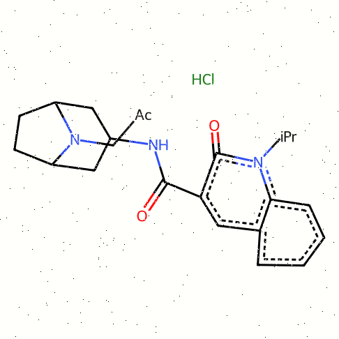 CC(=O)CN1C2CCC1CC(NC(=O)c1cc3ccccc3n(C(C)C)c1=O)C2.Cl